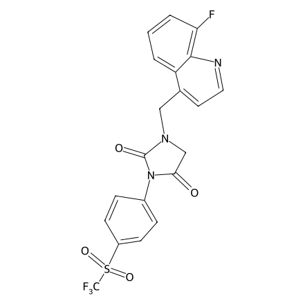 O=C1CN(Cc2ccnc3c(F)cccc23)C(=O)N1c1ccc(S(=O)(=O)C(F)(F)F)cc1